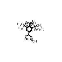 CCCCCC(C)(C)c1cc(C(CO)CCO)cc(C(C)(C)CCCCC)c1O